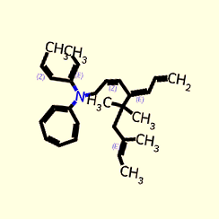 C=C/C=C(\C=C/CN(C1=C=CC=CC=C1)C(/C=C\C)=C/C)C(C)(C)C/C(C)=C/C